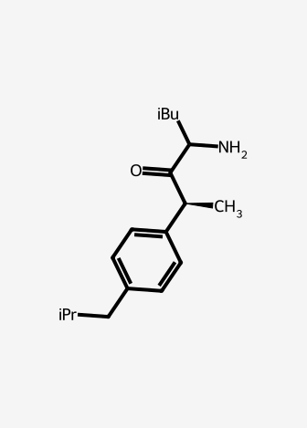 CCC(C)C(N)C(=O)[C@@H](C)c1ccc(CC(C)C)cc1